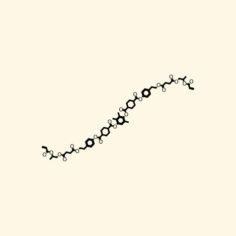 C=CC(=O)OC(C)COC(=O)CCC(=O)OCCc1ccc(OC(=O)C2CCC(C(=O)Oc3cc(C)c(OC(=O)C4CCC(C(=O)Oc5ccc(CCOC(=O)CCC(=O)OCC(C)OC(=O)C=C)cc5)CC4)c(C)c3C)CC2)cc1